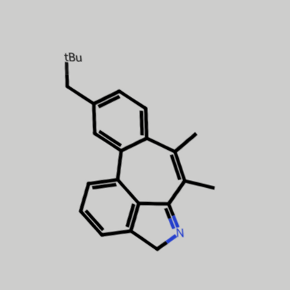 CC1=C(C)c2ccc(CC(C)(C)C)cc2-c2cccc3c2C1=NC3